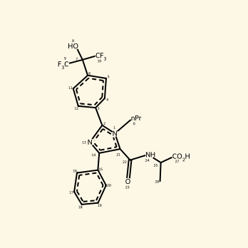 CCCn1c(-c2ccc(C(O)(C(F)(F)F)C(F)(F)F)cc2)nc(-c2ccccc2)c1C(=O)NC(C)C(=O)O